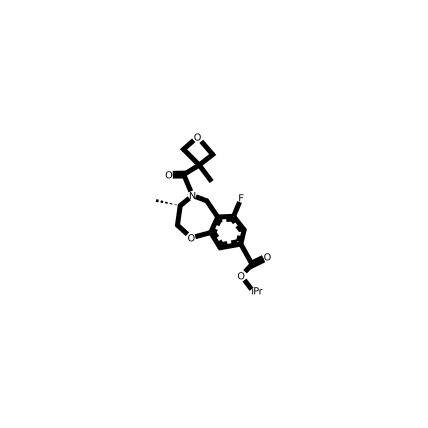 CC(C)OC(=O)c1cc(F)c2c(c1)OC[C@H](C)N(C(=O)C1(C)COC1)C2